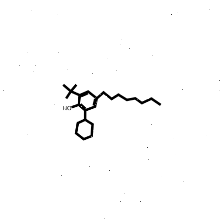 CCCCCCCCc1cc(C2CCCCC2)c(O)c(C(C)(C)C)c1